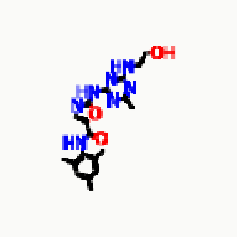 Cc1cc(C)c(NC(=O)c2cnc(Nc3nc(C)nc(NCCO)n3)o2)c(C)c1